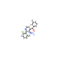 Cc1cccc(C(=O)c2ccnc(-c3c(F)cccc3F)c2N)c1